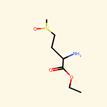 CCOC(=O)C(N)CC[S+](C)[O-]